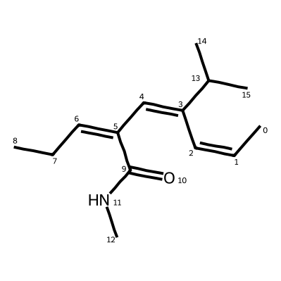 C\C=C/C(=C\C(=C\CC)C(=O)NC)C(C)C